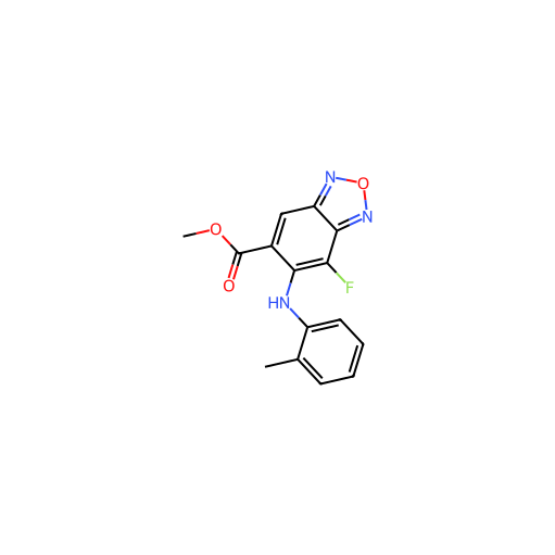 COC(=O)c1cc2nonc2c(F)c1Nc1ccccc1C